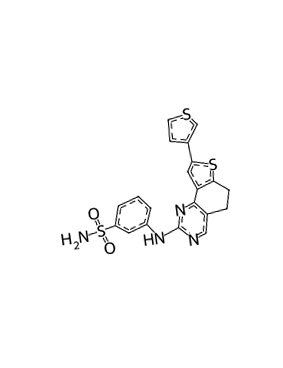 NS(=O)(=O)c1cccc(Nc2ncc3c(n2)-c2cc(-c4ccsc4)sc2CC3)c1